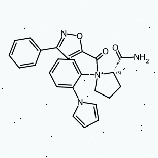 NC(=O)[C@@H]1CCC[N+]1(C(=O)c1cc(-c2ccccc2)no1)c1ccccc1-n1cccc1